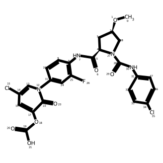 CO[C@@H]1C[C@H](C(=O)Nc2ccc(-n3cc(Cl)cc(OC(=O)O)c3=O)cc2F)N(C(=O)Nc2ccc(Cl)cc2)C1